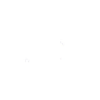 [NH]c1ccc2[nH]c(=O)oc2c1